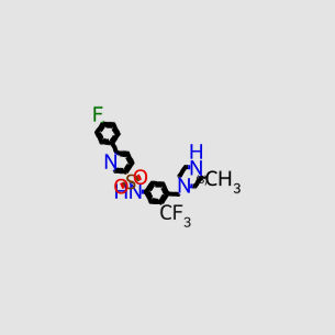 C[C@H]1CN(Cc2ccc(NS(=O)(=O)c3ccc(-c4ccc(F)cc4)nc3)cc2C(F)(F)F)CCN1